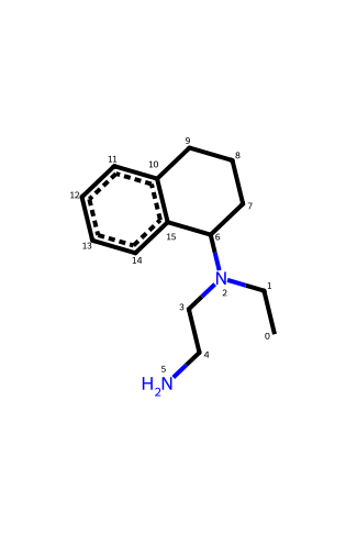 CCN(CCN)C1CCCc2ccccc21